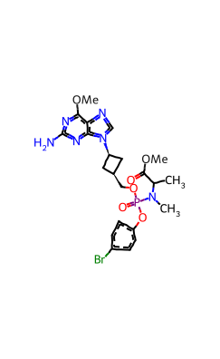 COC(=O)C(C)N(C)P(=O)(OC[C@H]1C[C@@H](n2cnc3c(OC)nc(N)nc32)C1)Oc1ccc(Br)cc1